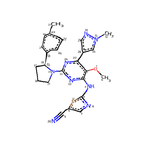 COc1c(Nc2ncc(C#N)s2)nc(N2CCC[C@H]2c2ccc(C)cc2)nc1-c1cnn(C)c1